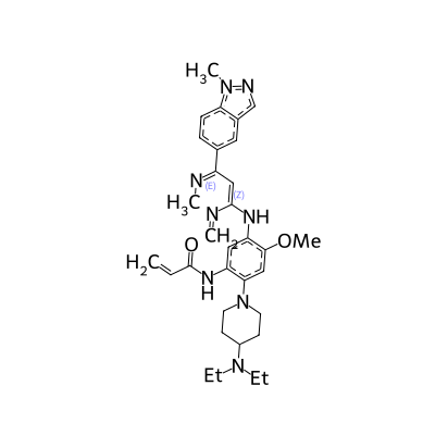 C=CC(=O)Nc1cc(N/C(=C/C(=N\C)c2ccc3c(cnn3C)c2)N=C)c(OC)cc1N1CCC(N(CC)CC)CC1